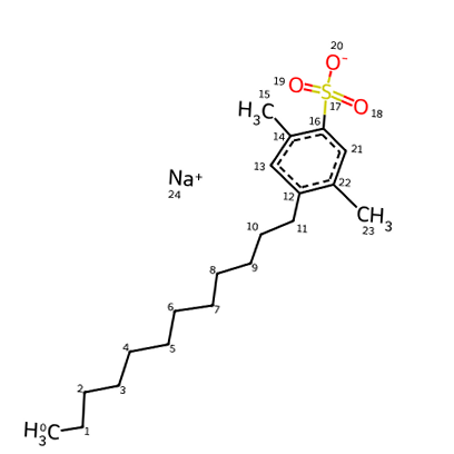 CCCCCCCCCCCCc1cc(C)c(S(=O)(=O)[O-])cc1C.[Na+]